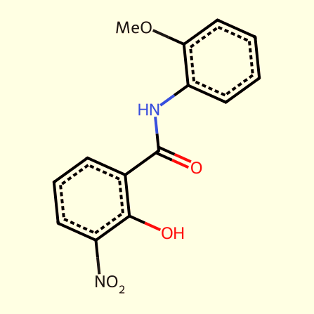 COc1ccccc1NC(=O)c1cccc([N+](=O)[O-])c1O